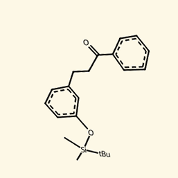 CC(C)(C)[Si](C)(C)Oc1cccc(CCC(=O)c2ccccc2)c1